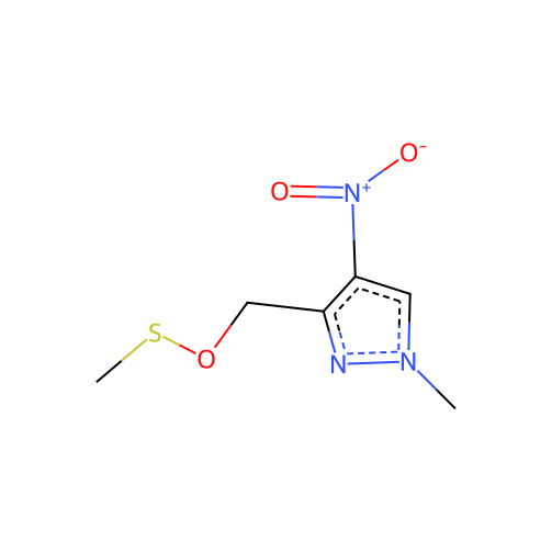 CSOCc1nn(C)cc1[N+](=O)[O-]